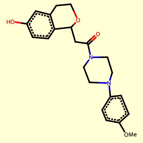 COc1ccc(N2CCN(C(=O)CC3OCCc4cc(O)ccc43)CC2)cc1